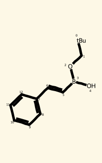 CC(C)(C)COB(O)/C=C/c1ccccc1